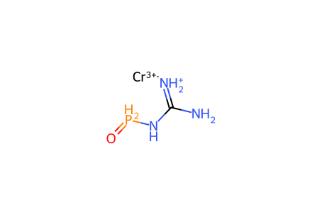 NC(=[NH2+])N[PH2]=O.[Cr+3]